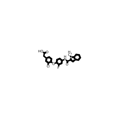 Cn1c(C(=O)Nc2ccc(Oc3ccc(CC(=O)O)cc3Cl)c(F)c2)cc2ccccc21